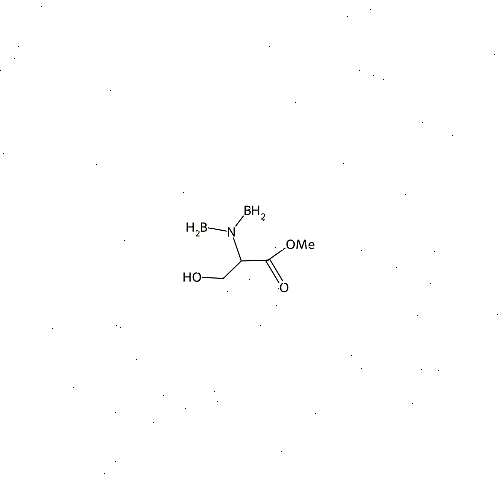 BN(B)C(CO)C(=O)OC